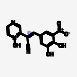 N#C/C(=C\c1cc(O)c(O)c([N+](=O)[O-])c1)c1cncc[n+]1O